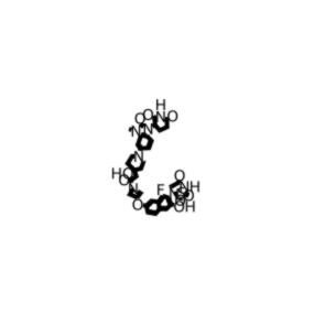 Cn1c(=O)n(C2CCC(=O)NC2=O)c2ccc(N3CCC(O)(CC(=O)N4CC(Oc5ccc6cc(O)c(N7CC(=O)NS7(=O)=O)c(F)c6c5)C4)CC3)cc21